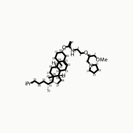 C=C(NCCOC(COC)CN1CCCC1)O[C@H]1CCC2(C)C(=CCC3[C@@H]2CCC2(C)[C@@H]([C@H](C)CCCC(C)C)CC[C@@H]32)C1